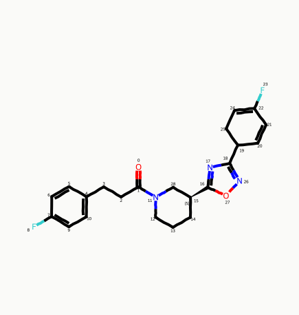 O=C(CCc1ccc(F)cc1)N1CCC[C@H](c2nc(C3C=CC(F)=CC3)no2)C1